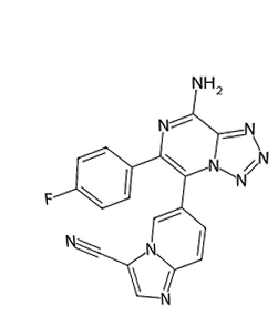 N#Cc1cnc2ccc(-c3c(-c4ccc(F)cc4)nc(N)c4nnnn34)cn12